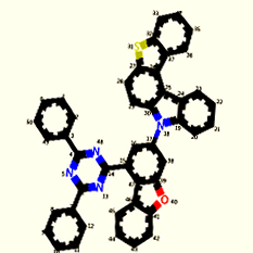 c1ccc(-c2nc(-c3ccccc3)nc(-c3cc(-n4c5ccccc5c5c6c(ccc54)sc4ccccc46)cc4oc5ccccc5c34)n2)cc1